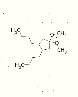 CCCCC1CC(OC)(OC)CC1CCCC